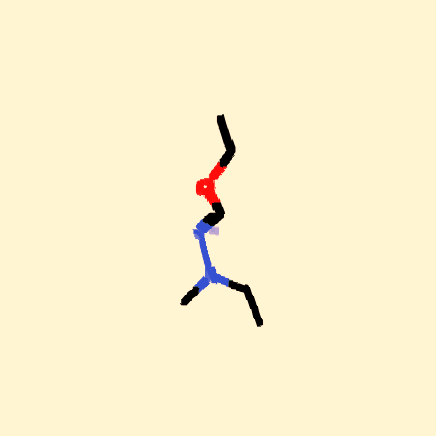 CCO/C=N/N(C)CC